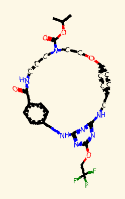 CC(C)OC(=O)N1CCCNC(=O)c2ccc(cc2)Nc2nc(nc(OCC(F)(F)F)n2)NCc2ccc(cc2)OCC1